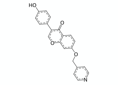 O=c1c(-c2ccc(O)cc2)coc2cc(OCc3ccncc3)ccc12